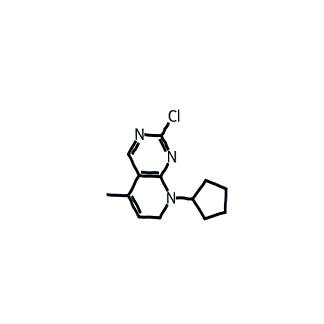 CC1=CCN(C2CCCC2)c2nc(Cl)ncc21